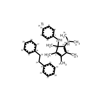 CC1=C(C)C(C)(Pc2ccccc2)C([SiH](C)C)=C1C.[Ti].c1ccc(CCc2ccccc2)cc1